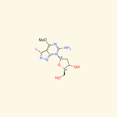 COc1nc(N)n([C@H]2CC(O)[C@@H](CO)O2)c2nnc(I)c1-2